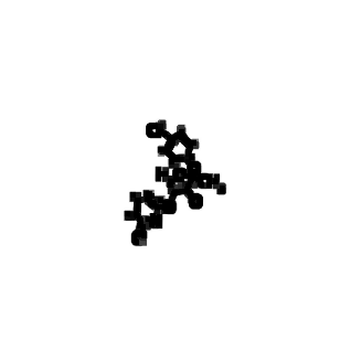 CC(C)(Oc1ccc(Cl)cc1)C(=O)COc1cccc(Cl)n1